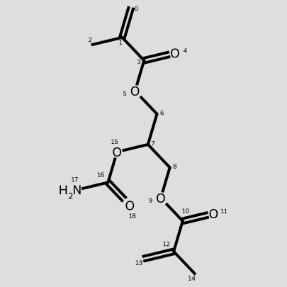 C=C(C)C(=O)OCC(COC(=O)C(=C)C)OC(N)=O